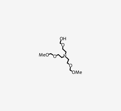 COCOCCN(CCOCO)CCOCOC